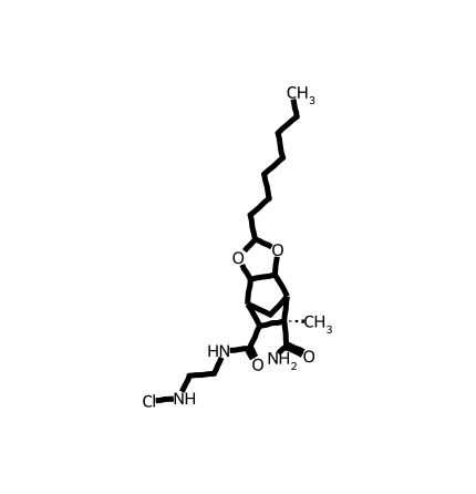 CCCCCCCC1OC2C3CC(C2O1)[C@@](C)(C(N)=O)C3C(=O)NCCNCl